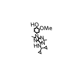 COc1cc(-n2c(C)nc3c(NC(C4CC4)C4CC4)nc(C)nc32)ccc1O